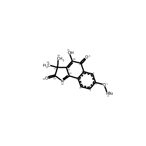 CCCCOc1ccc2c(c1)C(=O)C(O)=C1C2=NC(=O)C1(C)C